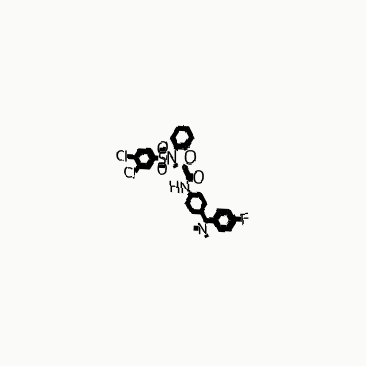 CN(C)C(c1ccc(F)cc1)C1CCC(NC(=O)COC2CCCCC2N(C)S(=O)(=O)c2ccc(Cl)c(Cl)c2)CC1